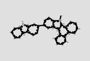 Cn1c2ccc(-c3ccc4c(c3)oc3ccccc34)cc2c2c3ccccc3c3ccccc3c21